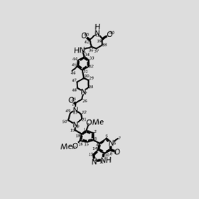 COc1cc(-c2cn(C)c(=O)c3[nH]ncc23)cc(OC)c1CN1CCN(C(=O)CN2CCC(c3ccc(NC4CCC(=O)NC4=O)cc3C)CC2)CC1